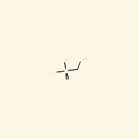 NCP(=O)(O)N=O